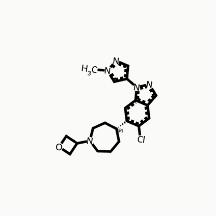 Cn1cc(-n2ncc3cc(Cl)c([C@@H]4CCCN(C5COC5)CC4)cc32)cn1